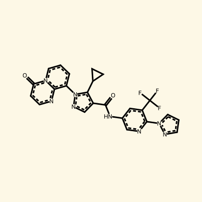 O=C(Nc1cnc(-n2cccn2)c(C(F)(F)F)c1)c1cnn(-c2cccn3c(=O)ccnc23)c1C1CC1